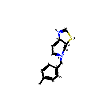 Cc1ccc(C[n+]2ccc3ncsc3c2)cc1